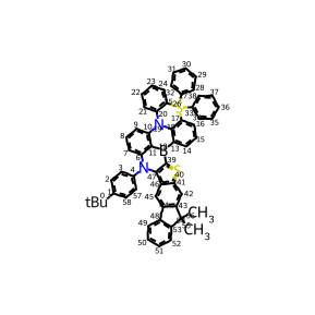 CC(C)(C)c1ccc(N2c3cccc4c3B(c3cccc5c3N4c3ccccc3S5(c3ccccc3)c3ccccc3)c3sc4cc5c(cc4c32)-c2ccccc2C5(C)C)cc1